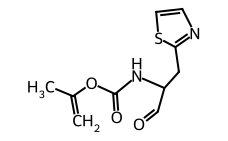 C=C(C)OC(=O)NC(C=O)Cc1nccs1